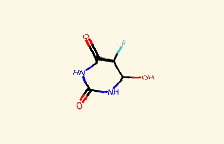 O=C1NC(=O)C(F)C(O)N1